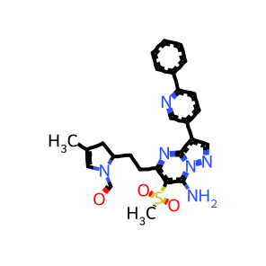 CC1=CN(C=O)C(CCc2nc3c(-c4ccc(-c5ccccc5)nc4)cnn3c(N)c2S(C)(=O)=O)C1